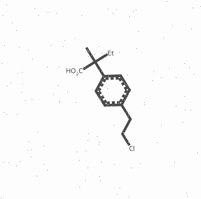 CCC(C)(C(=O)O)c1ccc(CCCl)cc1